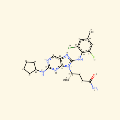 CCCC[C@@H](CCC(N)=O)n1c(Nc2c(F)cc(C#N)cc2Cl)nc2cnc(NC3CCCC3)nc21